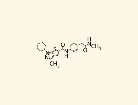 CNC(=O)Cc1ccc(NC(=O)c2cc3c(C)nn(C4CCCCC4)c3s2)cc1